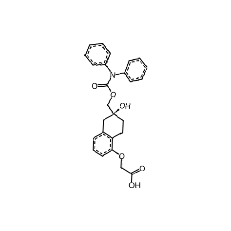 O=C(O)COc1cccc2c1CC[C@@](O)(COC(=O)N(c1ccccc1)c1ccccc1)C2